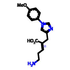 COc1ccc(-n2cnc(C/C(=C/CCN)C(=O)O)c2)cc1